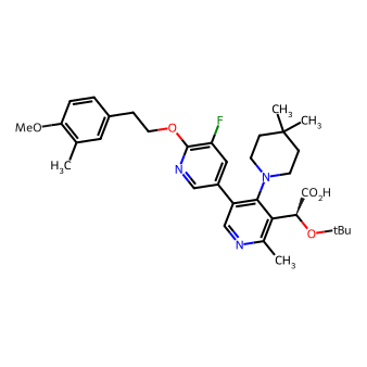 COc1ccc(CCOc2ncc(-c3cnc(C)c([C@H](OC(C)(C)C)C(=O)O)c3N3CCC(C)(C)CC3)cc2F)cc1C